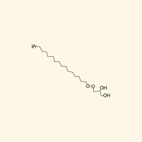 CC(C)CCCCCCCCCCCCCCCOOCC(O)CO